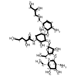 NCC[C@H](O)C(=O)N[C@@H]1C[C@H](N)[C@@H](O[C@H]2O[C@H](CNCC(O)CO)C=C[C@H]2N)[C@H](O[C@@H]2O[C@H](CO)[C@@H](O[C@H]3O[C@@H](CN)[C@@H](O)[C@H](O)[C@H]3N)[C@H]2O)[C@H]1O